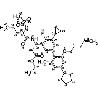 C=CCCCOc1cc(C2CCCC2)cc(C)c1-c1cc(C2CC2)c(F)c([C@H](CC(=O)OCC)NC(=O)[C@@H](CC=C)OS(C)(=O)=O)c1